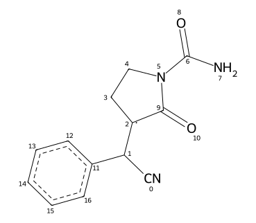 N#CC([C]1CCN(C(N)=O)C1=O)c1ccccc1